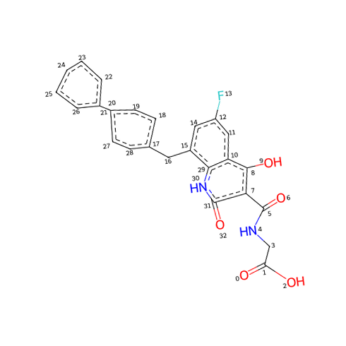 O=C(O)CNC(=O)c1c(O)c2cc(F)cc(Cc3ccc(-c4ccccc4)cc3)c2[nH]c1=O